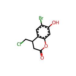 O=C1CC(CCl)c2cc(Br)c(O)cc2O1